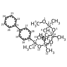 CO[Si](C)(C)O[Si](C)(C)O[Si](C)(C)O[Si](C)(C)c1ccc(-c2ccccc2)cc1